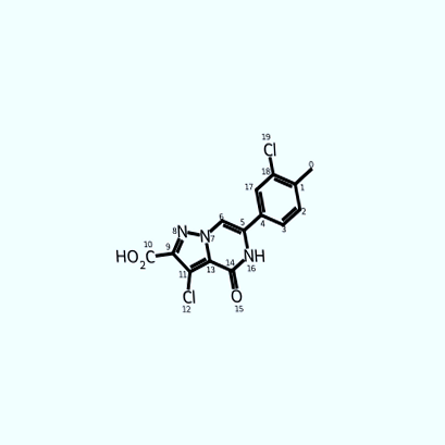 Cc1ccc(-c2cn3nc(C(=O)O)c(Cl)c3c(=O)[nH]2)cc1Cl